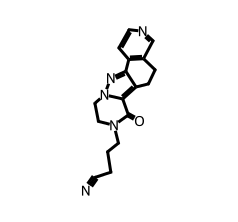 N#CCCCN1CCn2nc3c(c2C1=O)CCc1cnccc1-3